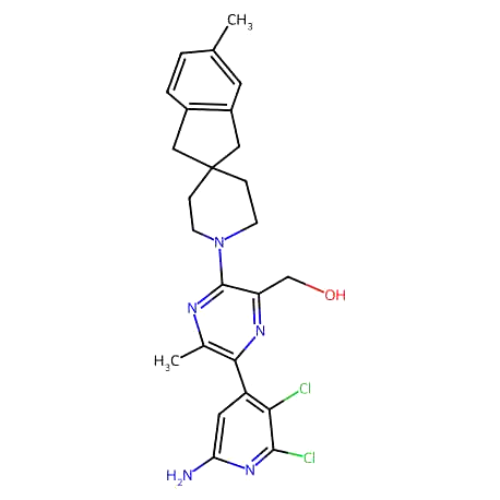 Cc1ccc2c(c1)CC1(CCN(c3nc(C)c(-c4cc(N)nc(Cl)c4Cl)nc3CO)CC1)C2